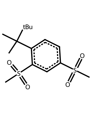 CC(C)(C)C(C)(C)c1ccc(S(C)(=O)=O)cc1S(C)(=O)=O